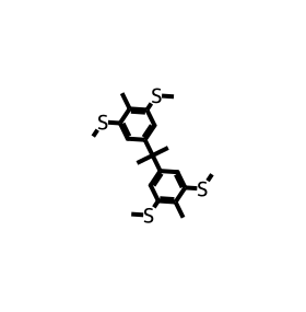 CSc1cc(C(C)(C)c2cc(SC)c(C)c(SC)c2)cc(SC)c1C